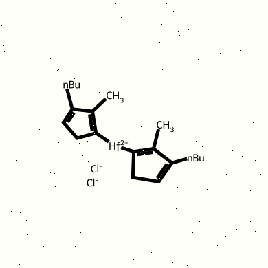 CCCCC1=CC[C]([Hf+2][C]2=C(C)C(CCCC)=CC2)=C1C.[Cl-].[Cl-]